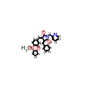 COc1ccc(C=C2C(=O)N(Cc3ccccn3)C(=O)C2=Cc2ccccc2)cc1OC1CCCC1